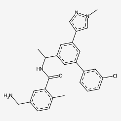 Cc1ccc(CN)cc1C(=O)NC(C)c1cc(-c2cccc(Cl)c2)cc(-c2cnn(C)c2)c1